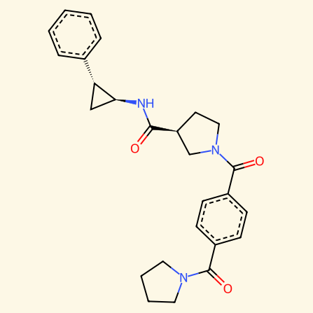 O=C(N[C@H]1C[C@@H]1c1ccccc1)[C@H]1CCN(C(=O)c2ccc(C(=O)N3CCCC3)cc2)C1